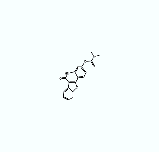 CN(C)C(=O)Oc1ccc2c(c1)[nH]c(=O)c1c3ccccc3oc21